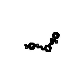 COc1ccc(OCCCN2CCCC(COS(=O)(=O)c3ccccc3)C2)cc1